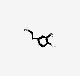 Clc1ccc(CCBr)cc1Br